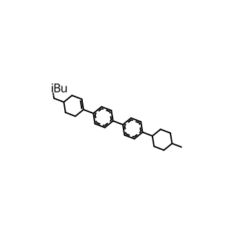 CCC(C)CC1CC=C(c2ccc(-c3ccc(C4CCC(C)CC4)cc3)cc2)CC1